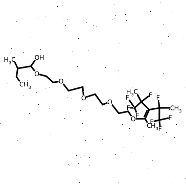 CCC(C)C(O)OCCOCCOCCOCCOC(C)=C(C(C)(F)C(F)(F)F)C(C)(F)C(F)(F)F